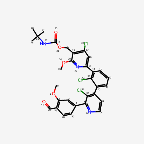 COc1cc(-c2nccc(-c3cccc(-c4cc(Cl)c(COC(=O)NC(C)(C)C)c(OC)n4)c3Cl)c2Cl)ccc1C=O